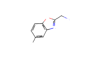 Cc1ccc2oc(CN)nc2c1